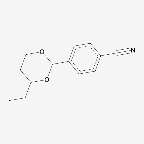 CCC1CCOC(c2ccc(C#N)cc2)O1